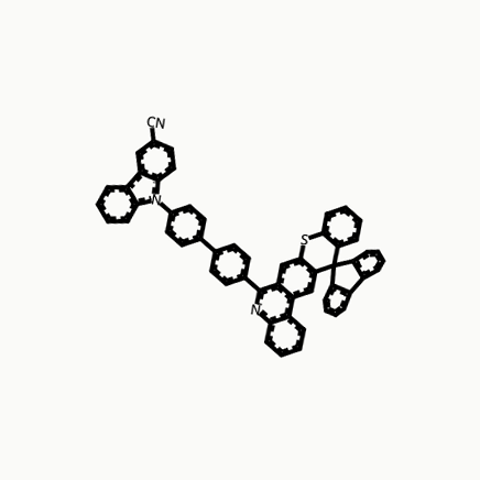 N#Cc1ccc2c(c1)c1ccccc1n2-c1ccc(-c2ccc(-c3nc4ccccc4c4cc5c(cc34)Sc3ccccc3C53c4ccccc4-c4ccccc43)cc2)cc1